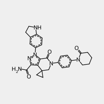 NC(=O)c1nn(-c2ccc3c(c2)CCN3)c2c1C1(CC1)CN(c1ccc(N3CCCCC3=O)cc1)C2=O